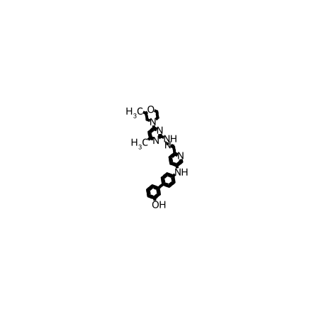 Cc1cc(N2CCOC(C)C2)nc(N/N=C/c2ccc(Nc3ccc(-c4cccc(O)c4)cc3)cn2)n1